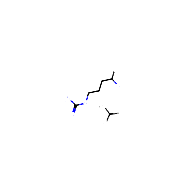 CCCC(C=O)C(=O)O.N=C(N)NCCCC(N)C(=O)O